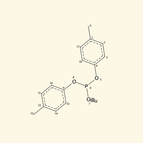 Cc1ccc(OP(OCC(C)C)Oc2ccc(C)cc2)cc1